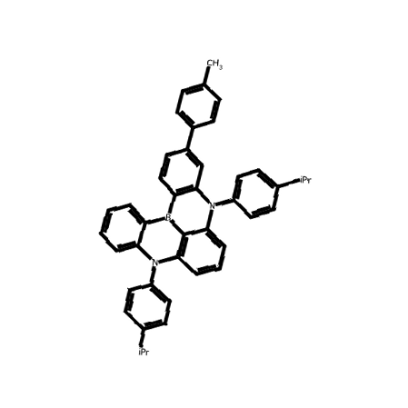 Cc1ccc(-c2ccc3c(c2)N(c2ccc(C(C)C)cc2)c2cccc4c2B3c2ccccc2N4c2ccc(C(C)C)cc2)cc1